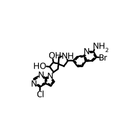 Nc1nc2cc(C3CC4(CN3)CC(n3ccc5c(Cl)ncnc53)C(O)C4O)ccc2cc1Br